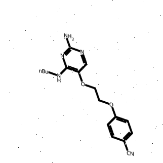 CCCCNc1nc(N)ncc1OCCOc1ccc(C#N)cc1